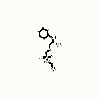 C[C@H](COCS(=O)(=O)NCC(F)(F)F)NC1CCCCC1